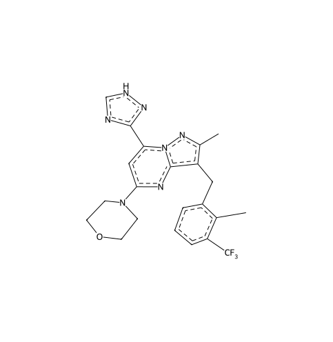 Cc1nn2c(-c3nc[nH]n3)cc(N3CCOCC3)nc2c1Cc1cccc(C(F)(F)F)c1C